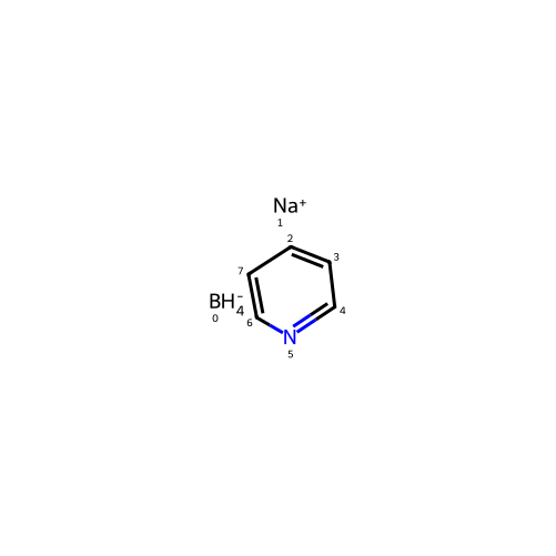 [BH4-].[Na+].c1ccncc1